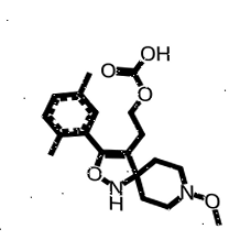 CON1CCC2(CC1)NOC(c1cc(C)ccc1C)=C2CCOC(=O)O